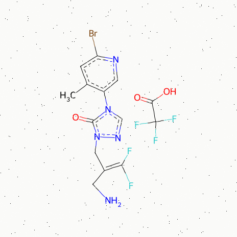 Cc1cc(Br)ncc1-n1cnn(CC(CN)=C(F)F)c1=O.O=C(O)C(F)(F)F